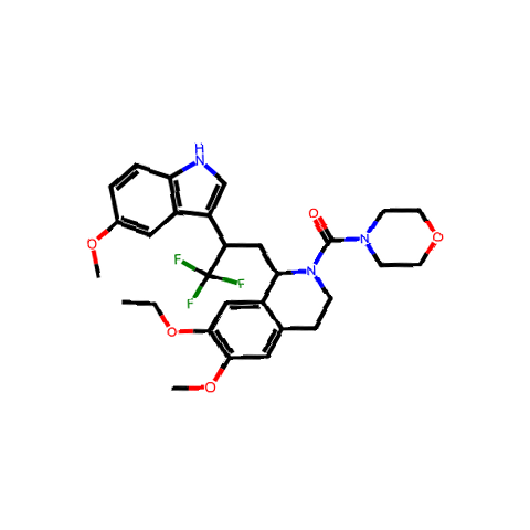 CCOc1cc2c(cc1OC)CCN(C(=O)N1CCOCC1)C2CC(c1c[nH]c2ccc(OC)cc12)C(F)(F)F